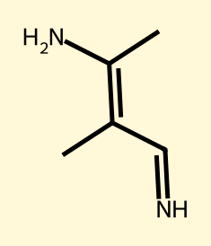 C/C(N)=C(/C)C=N